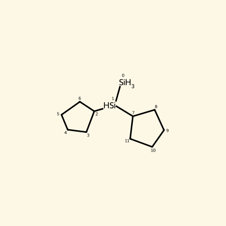 [SiH3][SiH](C1CCCC1)C1CCCC1